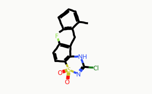 Cc1cccc(C)c1Cc1c(F)ccc2c1NC(Cl)=NS2(=O)=O